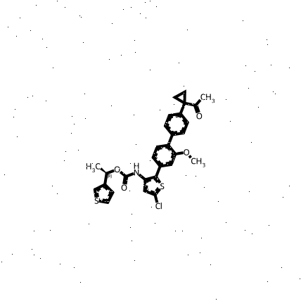 COc1cc(-c2sc(Cl)cc2NC(=O)O[C@H](C)c2ccsc2)ccc1-c1ccc(C2(C(C)=O)CC2)cc1